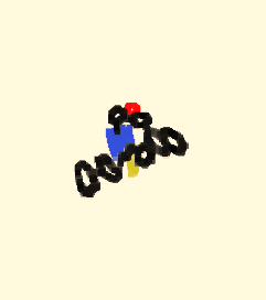 c1ccc(-c2ccc(-c3nc(-c4cccc5oc6ccc(-c7cccc8ccccc78)cc6c45)nc4c3sc3ccccc34)cc2)cc1